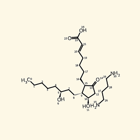 CCCCC[C@H](O)CC[C@H]1[C@H](O)CC(=O)[C@@H]1CCCCC=CC(=O)O.NCCCCN